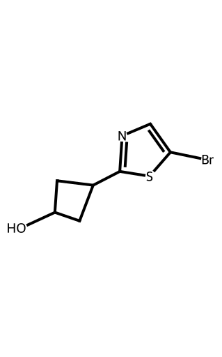 OC1CC(c2ncc(Br)s2)C1